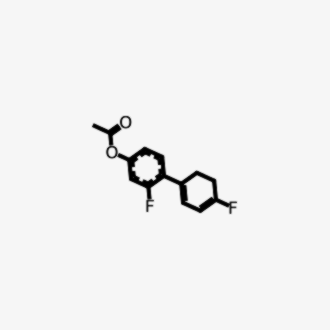 CC(=O)Oc1ccc(C2=CC=C(F)CC2)c(F)c1